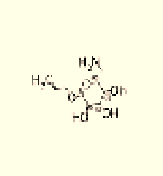 C=CCO[C@H]1O[C@H](CN)[C@@H](O)[C@H](O)[C@H]1O